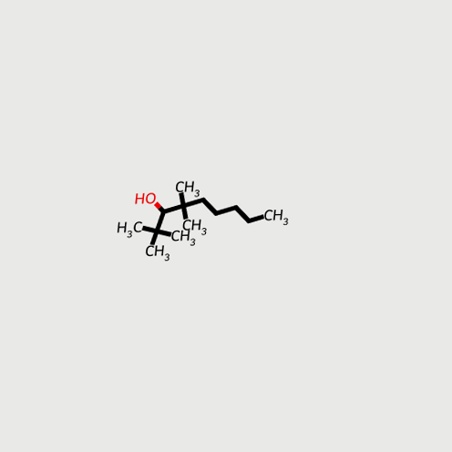 CCCCCC(C)(C)[C](O)C(C)(C)C